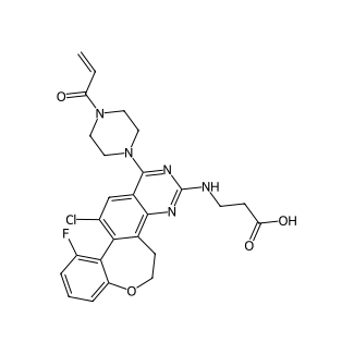 C=CC(=O)N1CCN(c2nc(NCCC(=O)O)nc3c4c(c(Cl)cc23)-c2c(F)cccc2OCC4)CC1